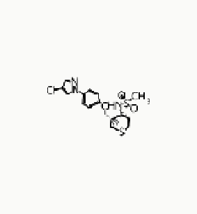 CS(=O)(=O)N[C@H]1CCSC[C@@H]1COc1ccc(-n2cc(Cl)cn2)cc1